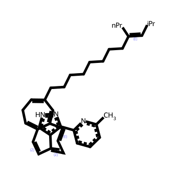 CCC/C(=C\C(C)C)CCCCCCCCC1=CCC=C2\C=C/C(c3c[nH]nc3-c3cccc(C)n3)=C/C=C/C2=C1